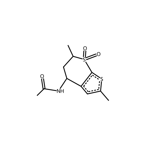 CC(=O)NC1CC(C)S(=O)(=O)c2sc(C)cc21